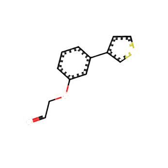 O=CCOc1cccc(-c2ccsc2)c1